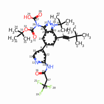 CC(C)(C)C#Cc1cc(-c2ccnc(NC(=O)CC(F)(F)F)c2)cc2c(N(C(=O)O)C(=O)OC(C)(C)C)nn(C(C)(C)C)c12